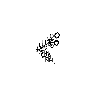 C[C@H](N[P@](=O)(OC[C@@]1(C)OC[C@@]2(c3ccc4c(N)ncnn34)OC(C)(C)O[C@H]12)Oc1ccccc1)C(=O)OC1CCCCC1